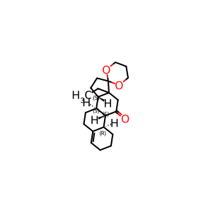 CCC12CC(=O)[C@H]3[C@@H](CCC4=CCCC[C@@H]43)[C@@H]1CCC21OCCCO1